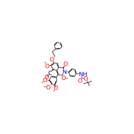 COc1cc(C2=c3c(cc(OCCc4ccccc4)c(OC)c3=C=O)C(=O)N(c3ccc(NC(=O)OC(C)(C)C)cc3)C2OC)cc(OC)c1OC